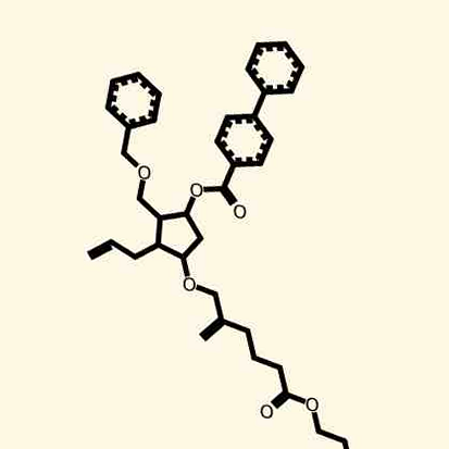 C=CCC1C(OCC(=C)CCCC(=O)OCCC)CC(OC(=O)c2ccc(-c3ccccc3)cc2)C1COCc1ccccc1